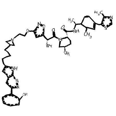 Cc1ncsc1C1=CC(C)C([C@H](C)NC(=O)[C@@H]2C[C@@H](O)CN2C(=O)[C@@H](c2cc(OCCN3CC(CCCc4cc5cc(-c6ccccc6O)nnc5[nH]4)C3)no2)C(C)C)C=C1